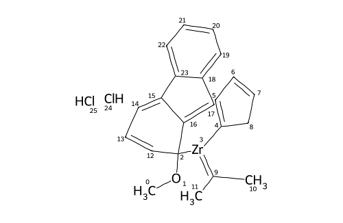 CO[C]1([Zr]([C]2=CC=CC2)=[C](C)C)C=CC=C2C1=Cc1ccccc12.Cl.Cl